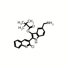 CC(C)(C)C(=O)Oc1c(-c2cc3ccccc3nc2Cl)[nH]c2ccc(CN)cc12